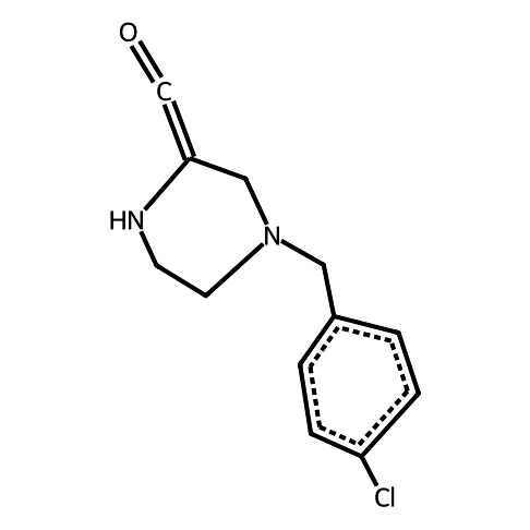 O=C=C1CN(Cc2ccc(Cl)cc2)CCN1